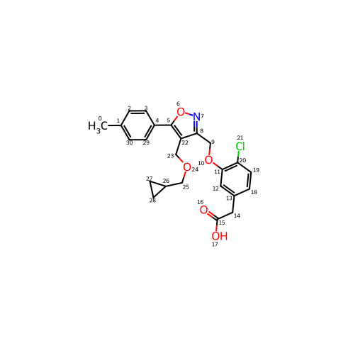 Cc1ccc(-c2onc(COc3cc(CC(=O)O)ccc3Cl)c2COCC2CC2)cc1